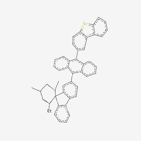 CCC1CC(C)CC(C)C12c1ccccc1-c1ccc(-c3c4ccccc4c(-c4ccc5sc6ccccc6c5c4)c4ccccc34)cc12